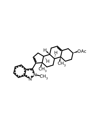 CC(=O)O[C@H]1CC[C@@]2(C)C(=CC[C@@H]3[C@@H]2CC[C@]2(C)C(c4c5ccccc5nn4C)=CC[C@@H]32)C1